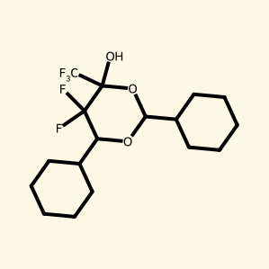 OC1(C(F)(F)F)OC(C2CCCCC2)OC(C2CCCCC2)C1(F)F